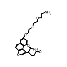 NCCOCCOCCOc1ccc2c(ccc3occ(C4CCC(=O)NC4=O)c32)c1